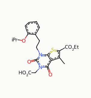 CCOC(=O)c1sc2c(c1C)c(=O)n(CC(=O)O)c(=O)n2CCc1ccccc1OC(C)C